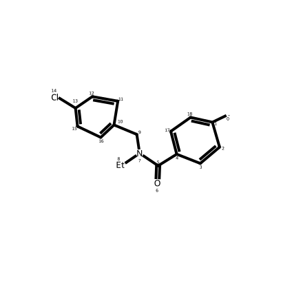 [CH2]c1ccc(C(=O)N(CC)Cc2ccc(Cl)cc2)cc1